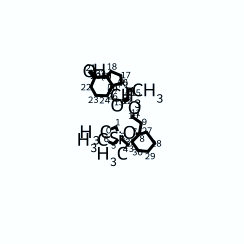 CC[Si](CC)(CC)OC1(CCOC(=O)C(C)[C@H]2CC[C@H]3C(=O)CCC[C@]23C)CCCCC1